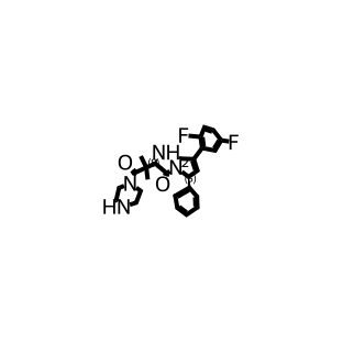 CC(C)(C(=O)N1CCNCC1)[C@H](N)C(=O)N1CC(c2cc(F)ccc2F)=C[C@H]1c1ccccc1